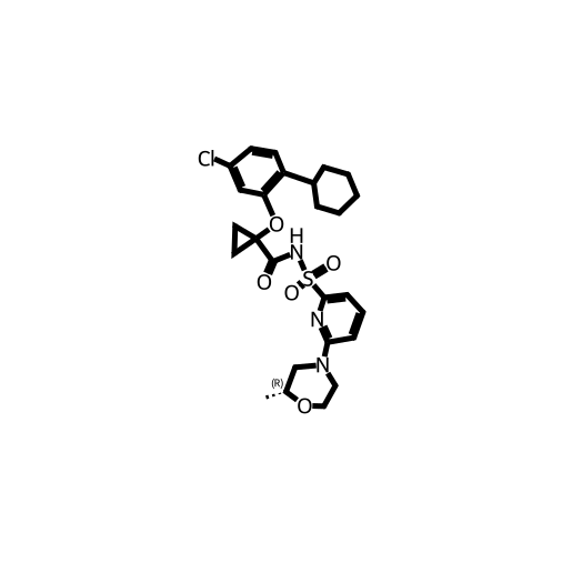 C[C@@H]1CN(c2cccc(S(=O)(=O)NC(=O)C3(Oc4cc(Cl)ccc4C4CCCCC4)CC3)n2)CCO1